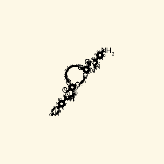 CN1CCN(c2ccc(C3=CN4C(=O)c5cc6c(cc5N=C[C@@H]4C3)OCCCOc3cc4c(cc3OCCCCCCCCO6)C(=O)N3C=C(c5ccc(N)cc5)C[C@H]3C=N4)cc2)CC1